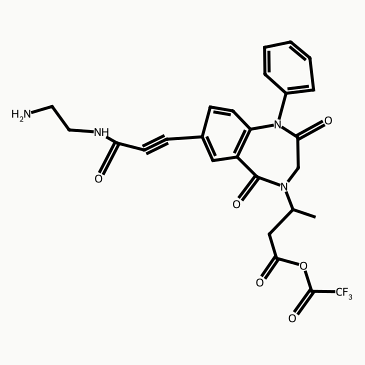 CC(CC(=O)OC(=O)C(F)(F)F)N1CC(=O)N(c2ccccc2)c2ccc(C#CC(=O)NCCN)cc2C1=O